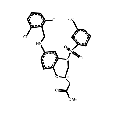 COC(=O)C[C@H]1CN(S(=O)(=O)c2cccc(C(F)(F)F)c2)c2cc(NCc3c(F)cccc3Cl)ccc2O1